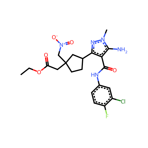 CCOC(=O)CC1(C[N+](=O)[O-])CCC(c2nn(C)c(N)c2C(=O)Nc2ccc(F)c(Cl)c2)C1